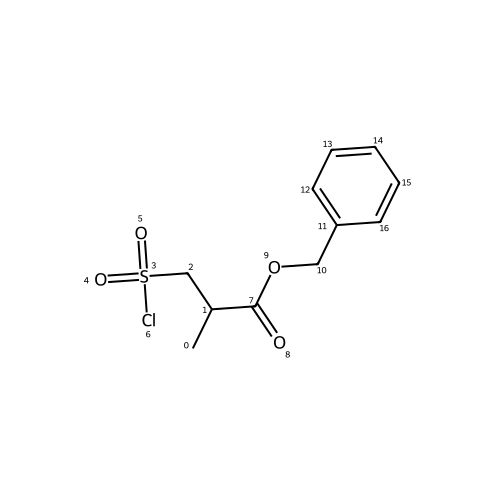 CC(CS(=O)(=O)Cl)C(=O)OCc1ccccc1